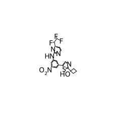 O=[N+]([O-])c1cc(Nc2nccc(C(F)C(F)F)n2)cc(-c2cnc(C3(O)CCC3)s2)c1